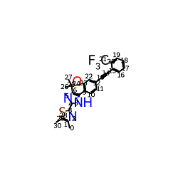 Cc1nc(-c2nc3c([nH]2)-c2ccc(C#Cc4ccccc4C(F)(F)F)cc2OC3(C)C)sc1C